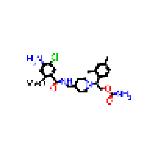 COc1cc(N)c(Cl)cc1C(=O)NCC1CCN(C(COC(N)=O)c2ccc(C)cc2C)CC1